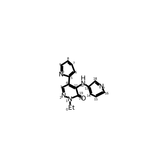 CCn1ncc(-c2ccccn2)c(Nc2cccnc2)c1=O